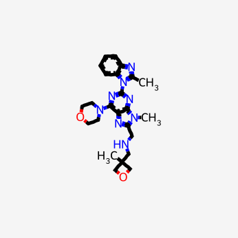 Cc1nc2ccccc2n1-c1nc(N2CCOCC2)c2nc(CNCC3(C)COC3)n(C)c2n1